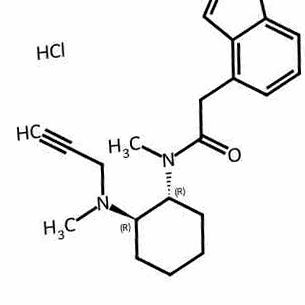 C#CCN(C)[C@@H]1CCCC[C@H]1N(C)C(=O)Cc1cccc2sccc12.Cl